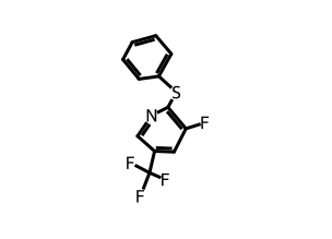 Fc1cc(C(F)(F)F)cnc1Sc1ccccc1